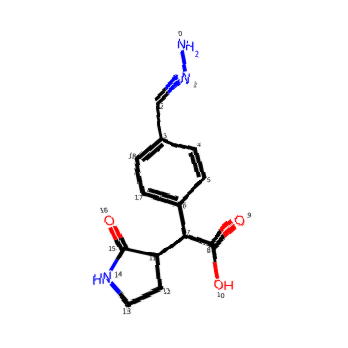 NN=Cc1ccc(C(C(=O)O)C2CCNC2=O)cc1